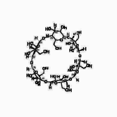 OCC1O[C@@H]2O[C@@H]3C(CO)O[C@H](O[C@@H]4C(CO)O[C@H](O[C@@H]5C(CO)O[C@@H](O[C@@H]6C(CO)O[C@H](O[C@@H]7C(CO)O[C@H](O[C@H]1[C@H](O)C2O)C(O)[C@H]7O)C(O)[C@H]6O)C(O)[C@H]5O)C(O)[C@H]4O)C(O)[C@H]3O